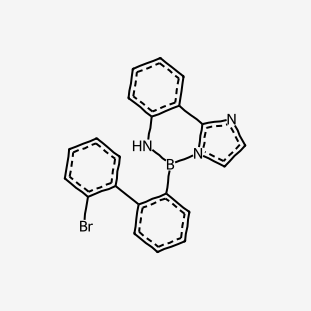 Brc1ccccc1-c1ccccc1B1Nc2ccccc2-c2nccn21